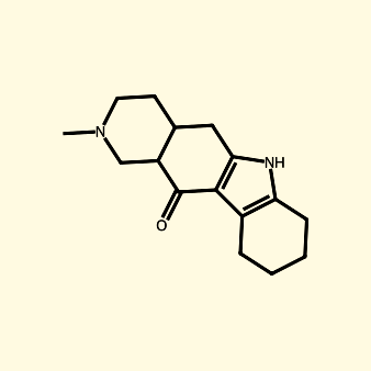 CN1CCC2Cc3[nH]c4c(c3C(=O)C2C1)CCCC4